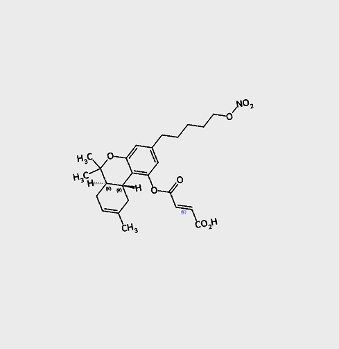 CC1=CC[C@@H]2[C@@H](C1)c1c(OC(=O)/C=C/C(=O)O)cc(CCCCCO[N+](=O)[O-])cc1OC2(C)C